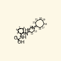 O=C(O)Nc1ccccc1NC1CCN(C2CCCCCCC2)CC1